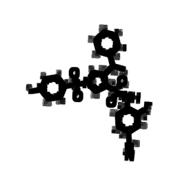 Cc1ccc(S(=O)(=O)n2cc(C(C)c3ccccc3)c(S(=O)(=O)Nc3ccc(C#N)cc3F)c2)cc1